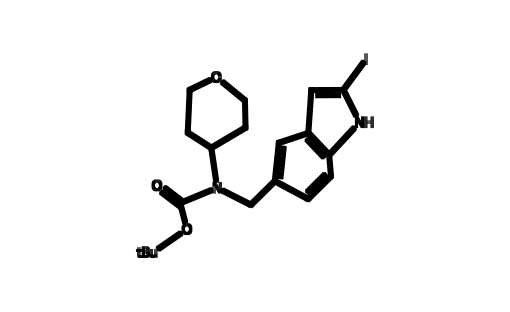 CC(C)(C)OC(=O)N(Cc1ccc2[nH]c(I)cc2c1)C1CCOCC1